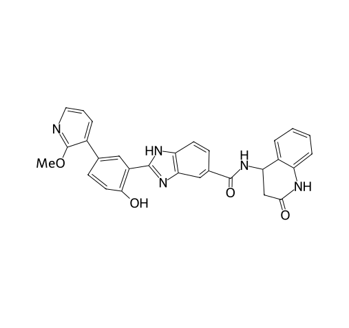 COc1ncccc1-c1ccc(O)c(-c2nc3cc(C(=O)NC4CC(=O)Nc5ccccc54)ccc3[nH]2)c1